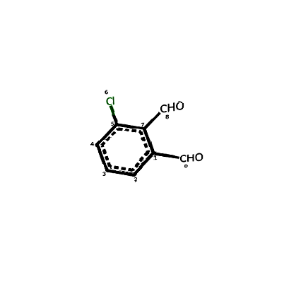 O=Cc1cccc(Cl)c1C=O